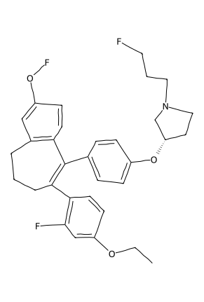 CCOc1ccc(C2=C(c3ccc(O[C@H]4CCN(CCCF)C4)cc3)c3ccc(OF)cc3CCC2)c(F)c1